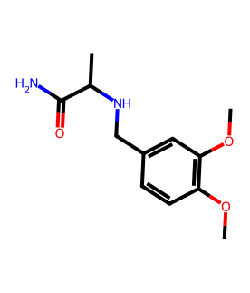 COc1ccc(CNC(C)C(N)=O)cc1OC